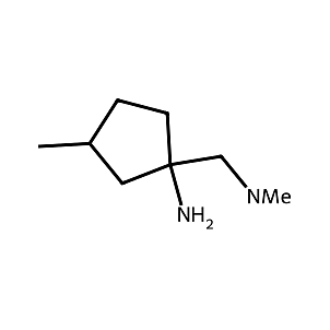 CNCC1(N)CCC(C)C1